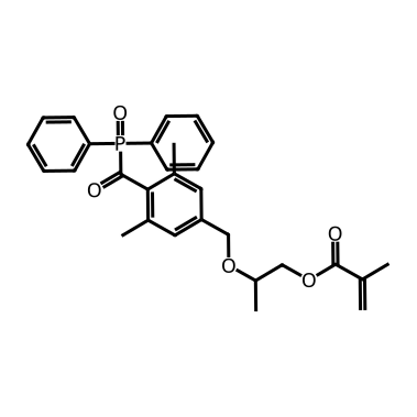 C=C(C)C(=O)OCC(C)OCc1cc(C)c(C(=O)P(=O)(c2ccccc2)c2ccccc2)c(C)c1